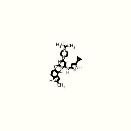 Cc1cc2c(Cl)c(Oc3nc(Nc4cc(C5CC5)[nH]n4)cc(N4CCN(C(C)C)CC4)n3)ccc2[nH]1